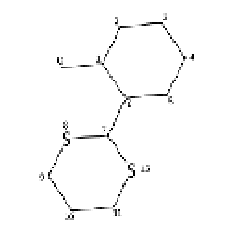 CC1CCCCC1C1SCCCS1